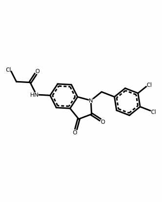 O=C(CCl)Nc1ccc2c(c1)C(=O)C(=O)N2Cc1ccc(Cl)c(Cl)c1